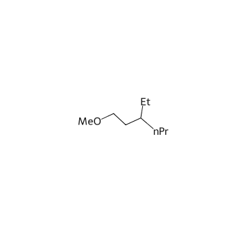 [CH2]CCC(CC)CCOC